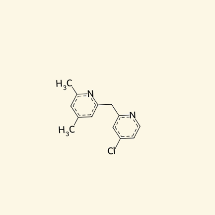 Cc1cc(C)nc(Cc2cc(Cl)ccn2)c1